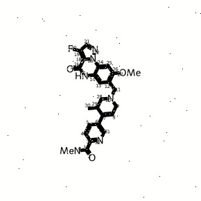 CNC(=O)c1ccc(C2=CCN(Cc3cc4[nH]c(=O)c5c(F)cnn5c4cc3OC)CC2C)cn1